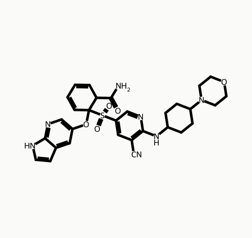 N#Cc1cc(S(=O)(=O)C2(Oc3cnc4[nH]ccc4c3)C=CC=CC2C(N)=O)cnc1NC1CCC(N2CCOCC2)CC1